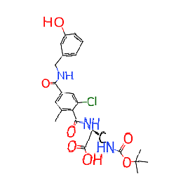 Cc1cc(C(=O)NCc2cccc(O)c2)cc(Cl)c1C(=O)N[C@@H](CNC(=O)OC(C)(C)C)C(=O)O